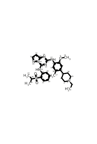 CCN1CCC(c2cc(OC)c(Nc3nc(Nc4ccccc4S(=O)(=O)C(C)C)n4nccc4n3)cc2C)CC1